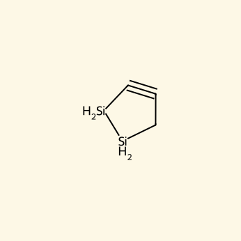 C1#C[SiH2][SiH2]C1